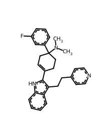 CN(C)C1(c2cccc(F)c2)CC=C(c2[nH]c3ccccc3c2CCc2ccncc2)CC1